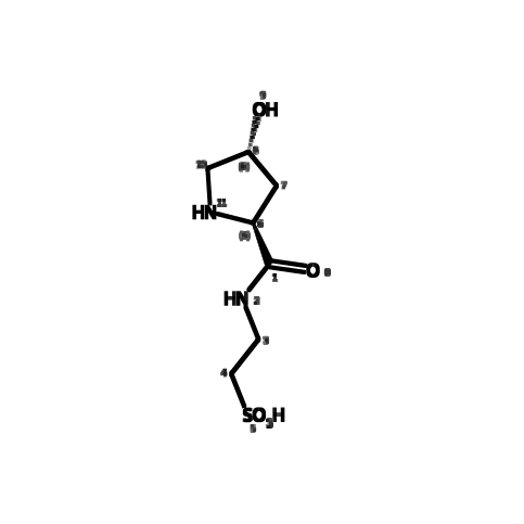 O=C(NCCS(=O)(=O)O)[C@@H]1C[C@@H](O)CN1